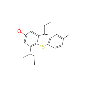 CCC(C)c1cc(OC)cc(C(C)CC)c1Sc1ccc(C)cc1